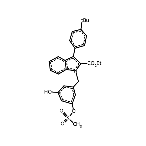 CCOC(=O)c1c(-c2ccc(C(C)(C)C)cc2)c2ccccc2n1Cc1cc(O)cc(OS(C)(=O)=O)c1